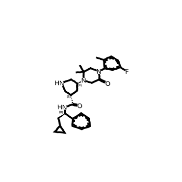 Cc1ccc(F)cc1N1CC(C)(C)N([C@H]2CNC[C@@H](C(=O)N[C@H](CC3CC3)c3ccccc3)C2)CC1=O